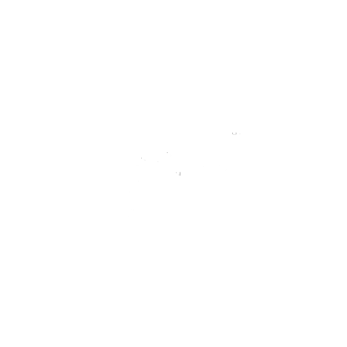 COc1cccc(CCc2nc3ncc(-c4ccccc4)cc3[nH]2)c1